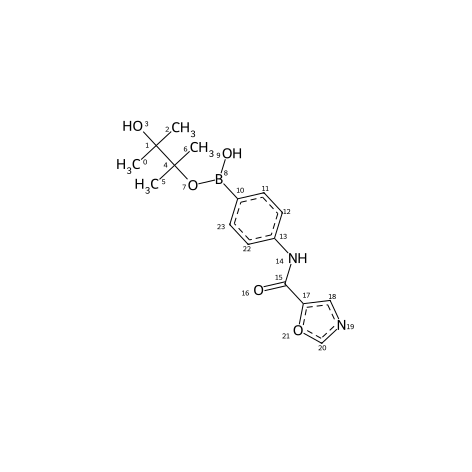 CC(C)(O)C(C)(C)OB(O)c1ccc(NC(=O)c2cnco2)cc1